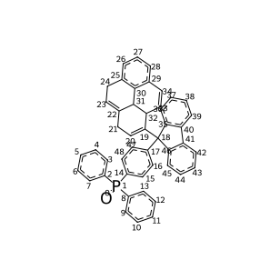 O=P(c1ccccc1)(c1ccccc1)c1ccc(C2(C3=CCC4=CCc5cccc6c5C4C3C=C6)c3ccccc3-c3ccccc32)cc1